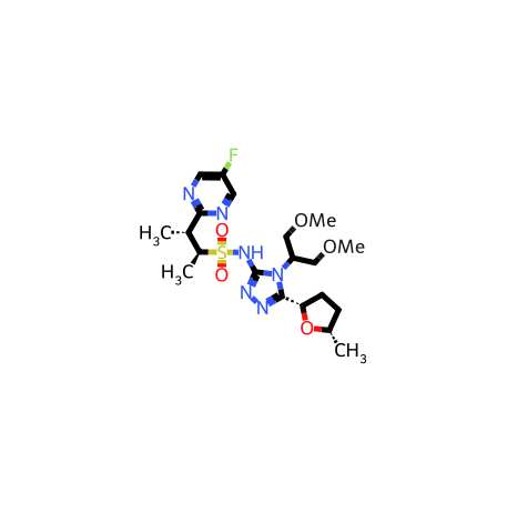 COCC(COC)n1c(NS(=O)(=O)[C@@H](C)[C@H](C)c2ncc(F)cn2)nnc1[C@@H]1CC[C@H](C)O1